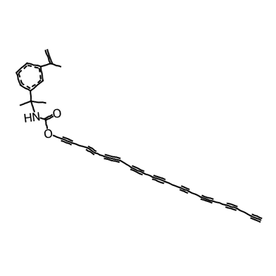 C#CC#CC#CC#CC#CC#CC#CC#CC#COC(=O)NC(C)(C)c1cccc(C(=C)C)c1